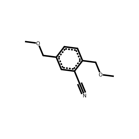 COCc1ccc(COC)c(C#N)c1